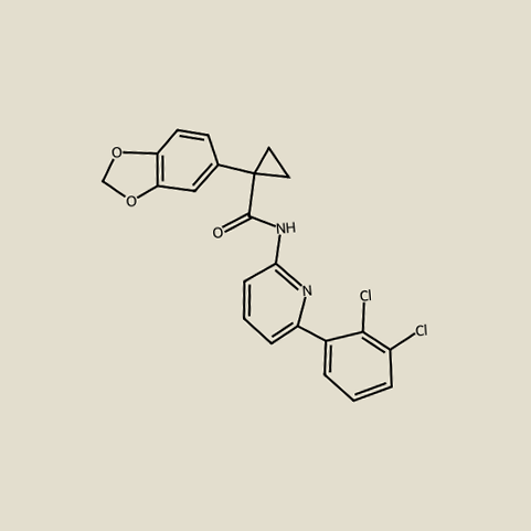 O=C(Nc1cccc(-c2cccc(Cl)c2Cl)n1)C1(c2ccc3c(c2)OCO3)CC1